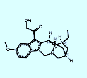 CC[C@H]1C[C@@H]2C[C@H]3c4c(C(=O)CO)c5cc(OC)ccc5n4CN(C2)[C@@H]13